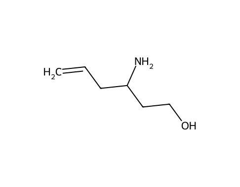 C=CCC(N)CCO